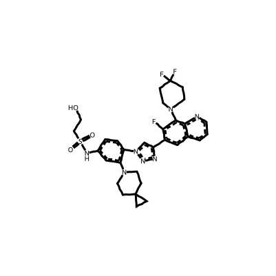 O=S(=O)(CCO)Nc1ccc(-n2cc(-c3cc4cccnc4c(N4CCC(F)(F)CC4)c3F)nn2)c(N2CCC3(CC2)CC3)c1